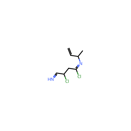 C=CC(C)/N=C(/Cl)CC(Cl)C=N